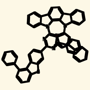 c1ccc(-c2cccc(-n3c4ccccc4c4ccc5c6ccccc6n(-c6nc(-c7ccccc7)nc(-c7ccc8c(c7)sc7cccc(-c9ccccc9)c78)n6)c5c43)c2)cc1